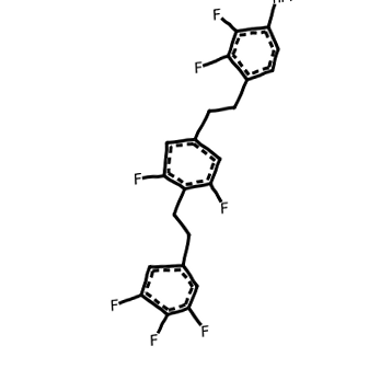 CCCc1ccc(CCc2cc(F)c(CCc3cc(F)c(F)c(F)c3)c(F)c2)c(F)c1F